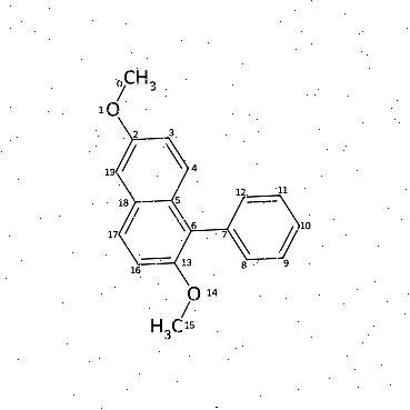 COc1ccc2c(-c3ccccc3)c(OC)ccc2c1